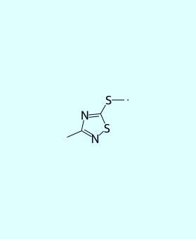 [CH2]Sc1nc(C)ns1